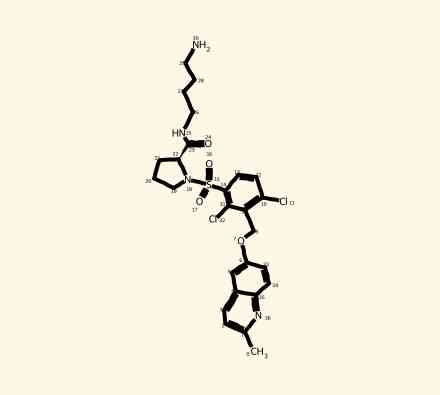 Cc1ccc2cc(OCc3c(Cl)ccc(S(=O)(=O)N4CCC[C@H]4C(=O)NCCCCN)c3Cl)ccc2n1